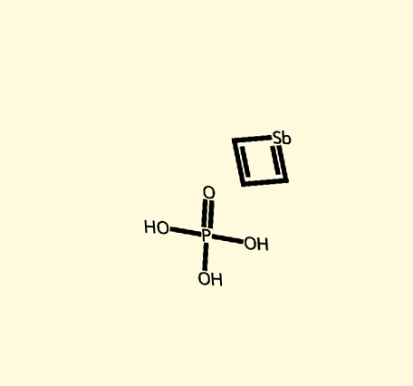 C1=[CH][Sb]=[CH]1.O=P(O)(O)O